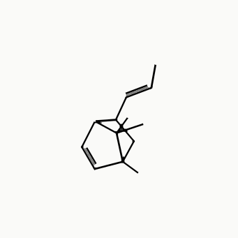 CC=CC1CC2(C)C=CC1C2(C)C